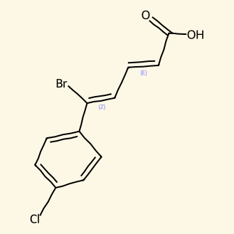 O=C(O)/C=C/C=C(\Br)c1ccc(Cl)cc1